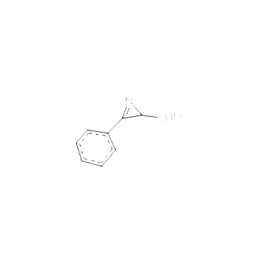 O=CC1N=C1c1ccccc1